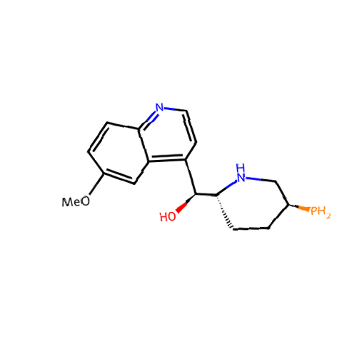 COc1ccc2nccc([C@H](O)[C@H]3CC[C@H](P)CN3)c2c1